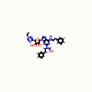 CCn1nnc([C@H]2O[C@@H](n3cnc4c(NCCc5ccccc5)nc(N(CO)CCc5ccccc5)nc43)[C@H](O)[C@@H]2O)n1